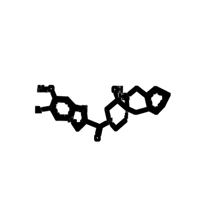 COc1cc2nc(C(=O)N3CC[C@]4(Cc5ccccc5CN4)[C@H](O)C3)cn2cc1Br